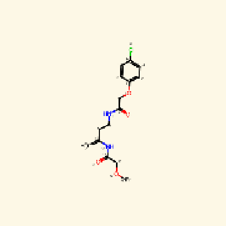 C=C(CCNC(=O)COc1ccc(Cl)cc1)NC(=O)COC(C)C